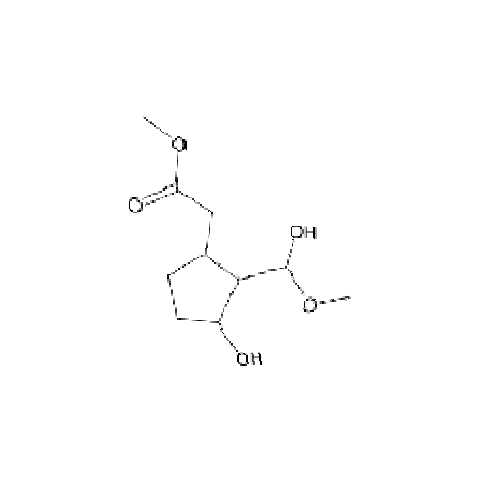 COC(=O)CC1CCC(O)C1C(O)OC